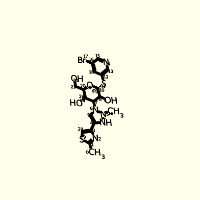 Cc1nc(C2=CN(C3C(O)[C@@H](Sc4cncc(Br)c4)OC(CO)[C@@H]3O)N(C)N2)cs1